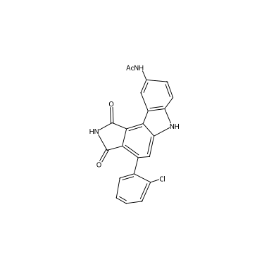 CC(=O)Nc1ccc2[nH]c3cc(-c4ccccc4Cl)c4c(c3c2c1)C(=O)NC4=O